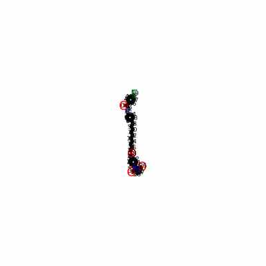 O=C(/C=C/c1ccc(CCCCCCCCCCOCc2ccc(N3C(=O)C=CC3=O)cc2)cc1)c1ccc(F)cc1